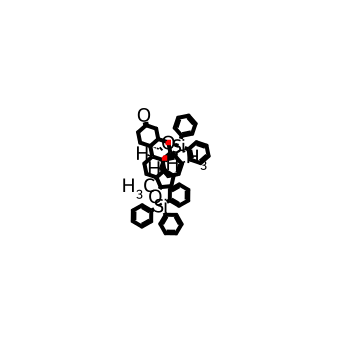 CC1CC2CC(=O)CC[C@]2(CO[Si](c2ccccc2)(c2ccccc2)c2ccccc2)[C@@H]2CC[C@]3(C)C(O[Si](c4ccccc4)(c4ccccc4)c4ccccc4)CC[C@H]3[C@H]12